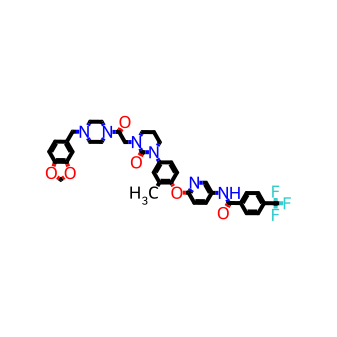 Cc1cc(N2CCCN(CC(=O)N3CCN(Cc4ccc5c(c4)OCO5)CC3)C2=O)ccc1Oc1ccc(NC(=O)c2ccc(C(F)(F)F)cc2)cn1